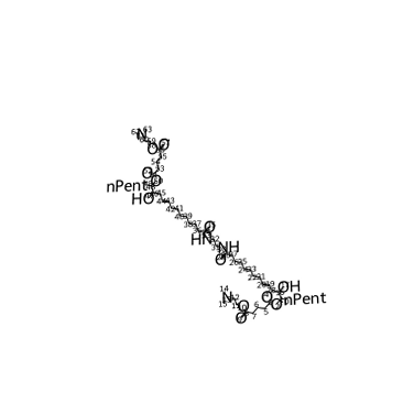 CCCCCC(OC(=O)CCCC(=O)OCCN(C)C)C(O)CC=CCCCCCCCC(=O)NCCNC(=O)CCCCCCCC=CCC(O)C(CCCCC)OC(=O)CCCC(=O)OCCN(C)C